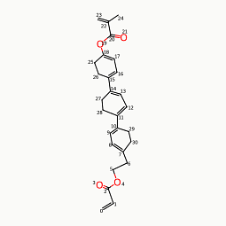 C=CC(=O)OCCC1=CC=C(C2=CC=C(C3=CC=C(OC(=O)C(=C)C)CC3)CC2)CC1